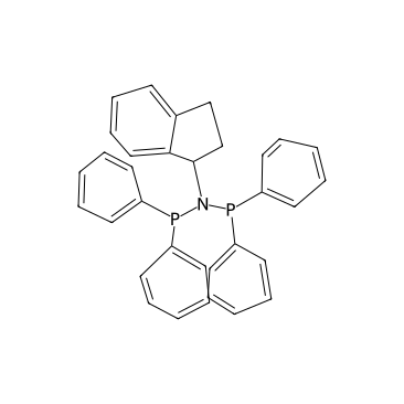 c1ccc(P(c2ccccc2)N(C2CCc3ccccc32)P(c2ccccc2)c2ccccc2)cc1